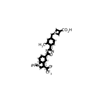 Cc1cc(CN2CC(C(=O)O)C2)ccc1-c1noc(-c2ccc3c(c2)c(C(=O)C(F)(F)F)cn3C(C)C)n1